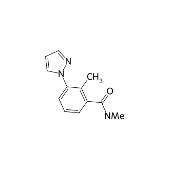 CNC(=O)c1cccc(-n2cccn2)c1C